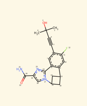 CC(C)(O)C#Cc1cc2c(cc1F)C1CC(C1)n1cc(C(N)=O)nc1-2